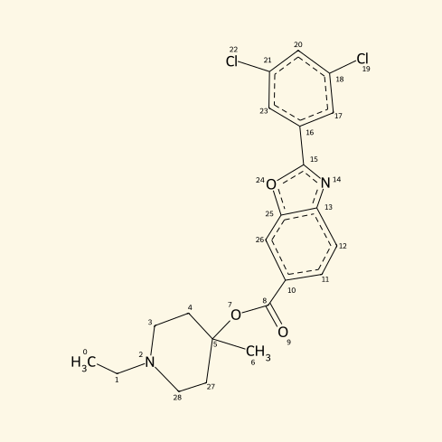 CCN1CCC(C)(OC(=O)c2ccc3nc(-c4cc(Cl)cc(Cl)c4)oc3c2)CC1